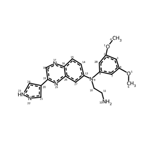 COc1cc(OC)cc(N(CCN)c2ccc3ncc(-c4cn[nH]c4)nc3c2)c1